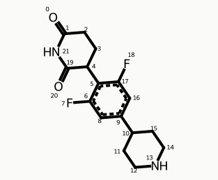 O=C1CCC(c2c(F)cc(C3CCNCC3)cc2F)C(=O)N1